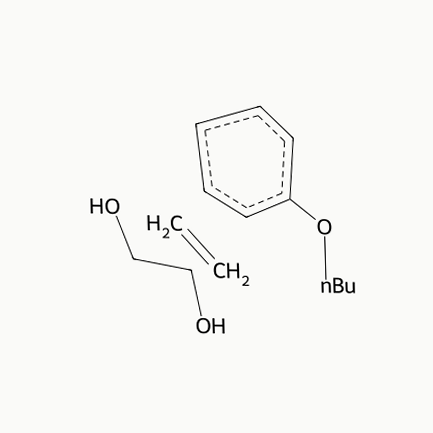 C=C.CCCCOc1ccccc1.OCCO